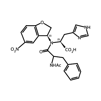 CC(=O)NC(Cc1ccccc1)C(=O)N([C@@H]1COc2ccc([N+](=O)[O-])cc21)[C@@H](Cc1c[nH]cn1)C(=O)O